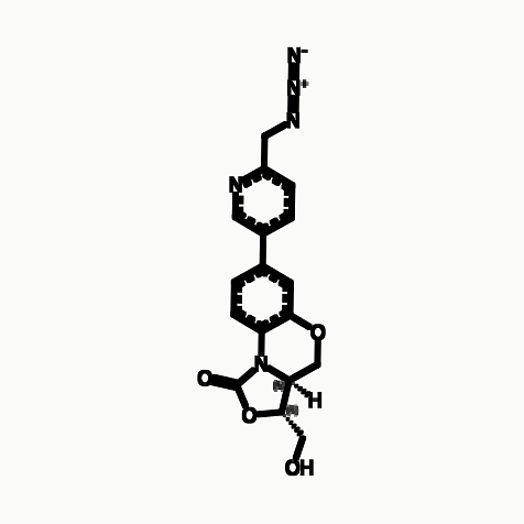 [N-]=[N+]=NCc1ccc(-c2ccc3c(c2)OC[C@H]2[C@H](CO)OC(=O)N32)cn1